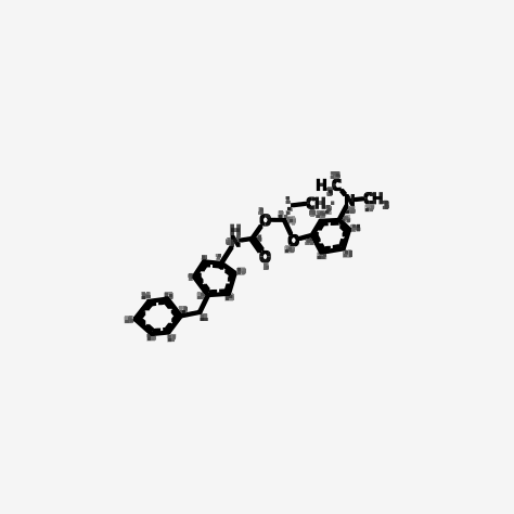 [CH2]C[C@@H](OC(=O)Nc1ccc(Cc2ccccc2)cc1)Oc1cccc(N(C)C)c1